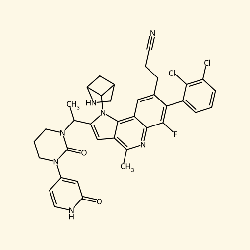 Cc1nc2c(F)c(-c3cccc(Cl)c3Cl)c(CCC#N)cc2c2c1cc(C(C)N1CCCN(c3cc[nH]c(=O)c3)C1=O)n2C1C2CNC1C2